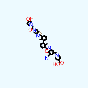 Cc1c(-c2nc3cc(CN4CCC(C(=O)O)CC4)cc(C#N)c3o2)cccc1-c1cccc(-c2nc3c(s2)CN(C(=O)CN2CC[C@H](O)C2)C3)c1C